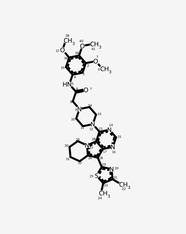 COc1cc(NC(=O)CN2CCN(c3ncnc4c(-c5nc(C)c(C)s5)c5n(c34)CCCC5)CC2)cc(OC)c1OC